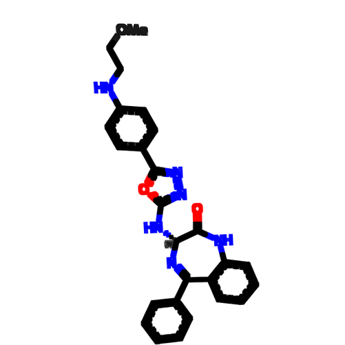 COCCNc1ccc(-c2nnc(N[C@H]3N=C(c4ccccc4)c4ccccc4NC3=O)o2)cc1